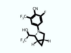 N#Cc1c(F)cc(N2C[C@@H]3C[C@@H]3[C@@H]2[C@H](O)C(F)(F)F)cc1C(F)(F)F